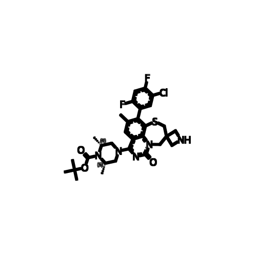 Cc1cc2c(N3C[C@@H](C)N(C(=O)OC(C)(C)C)[C@@H](C)C3)nc(=O)n3c2c(c1-c1cc(Cl)c(F)cc1F)SCC1(CNC1)C3